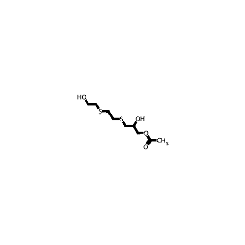 CC(=O)OCC(O)CSCCSCCO